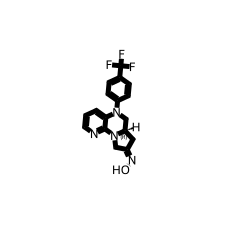 ON=C1C[C@@H]2CN(c3ccc(C(F)(F)F)cc3)c3cccnc3N2C1